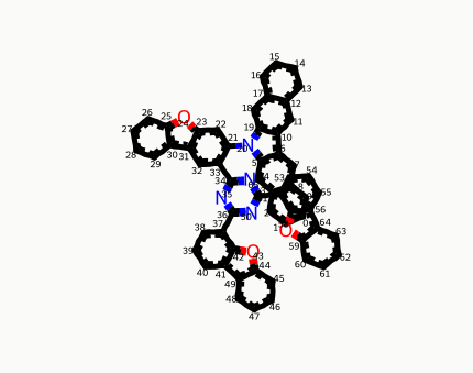 c1ccc2cc3c(cc2c1)c1cc2ccccc2cc1n3-c1cc2oc3ccccc3c2cc1-c1nc(-c2cccc3c2oc2ccccc23)nc(-c2cccc3c2oc2ccccc23)n1